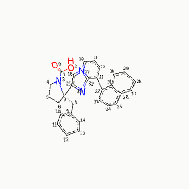 O=C(O)N1CCC[C@]1(Cc1ccccc1)c1cn2cccc(-c3cccc4ccccc34)c2n1